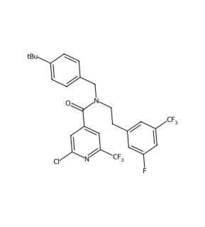 CC(C)(C)c1ccc(CN(CCc2cc(F)cc(C(F)(F)F)c2)C(=O)c2cc(Cl)nc(C(F)(F)F)c2)cc1